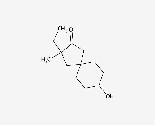 CCC1(C)CC2(CCC(O)CC2)CC1=O